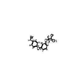 CC(C)(Oc1cccc(Oc2ccc(CBr)cc2)c1)C(=O)O